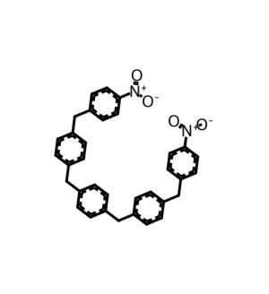 O=[N+]([O-])c1ccc(Cc2ccc(Cc3ccc(Cc4ccc(Cc5ccc([N+](=O)[O-])cc5)cc4)cc3)cc2)cc1